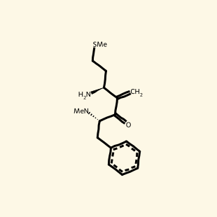 C=C(C(=O)[C@H](Cc1ccccc1)NC)[C@@H](N)CCSC